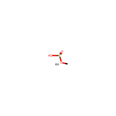 COS(=O)O.[KH]